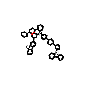 c1ccc(-c2ccc(-c3ccccc3N(c3ccc(-c4ccc(-c5cccc(-n6c7ccccc7c7ccccc76)c5)cc4)cc3)c3cccc(-c4ccc5c(c4)oc4ccccc45)c3)cc2)cc1